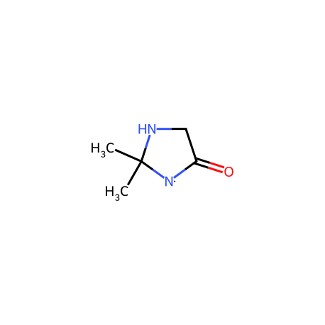 CC1(C)[N]C(=O)CN1